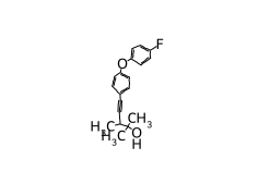 CC(C#Cc1ccc(Oc2ccc(F)cc2)cc1)C(C)(C)O